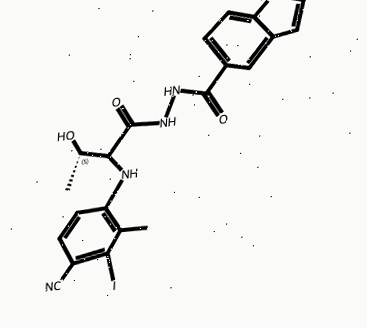 Cc1c(NC(C(=O)NNC(=O)c2ccc3[nH]ccc3c2)[C@H](C)O)ccc(C#N)c1I